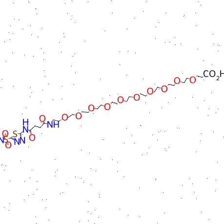 NS(=O)(=O)c1nnc(NC(=O)CCC(=O)NCCOCCOCCOCCOCCOCCOCCOCCOCCOCCOCCC(=O)O)s1